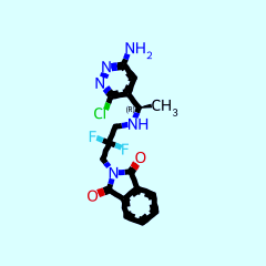 C[C@@H](NCC(F)(F)CN1C(=O)c2ccccc2C1=O)c1cc(N)nnc1Cl